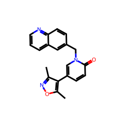 Cc1noc(C)c1-c1ccc(=O)n(Cc2ccc3ncccc3c2)c1